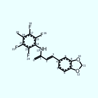 C=C(/C=C/c1ccc2c(c1)OCO2)Nc1c(F)c(F)c(C)c(F)c1F